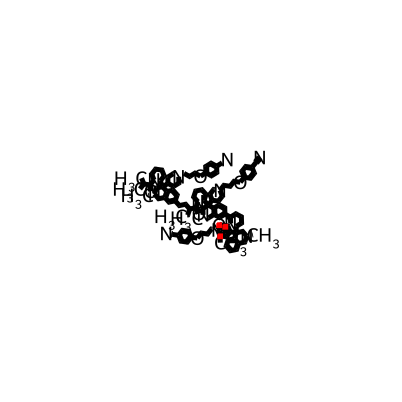 CCCC(=O)N1C(c2ccc3c(c2)CN(C)CC3(C2CCN(CCCOc3ccc(C#N)cc3)CC2)C2CCCCN2C(=O)C(CC)CCc2ccc3c(c2)CN(C)CC3(C2CCN(CCCOc3ccc(C#N)cc3)CC2)C2CCCCN2C(=O)C(C)C)CCCC1C1(C2CCN(CCCOc3ccc(C#N)cc3)CC2)CN(C)Cc2ccccc21